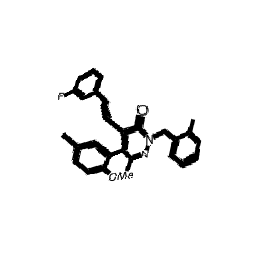 COC1=CCC(C)C=C1c1c(C)nn(Cc2ccccc2C)c(=O)c1/C=C/c1cccc(F)c1